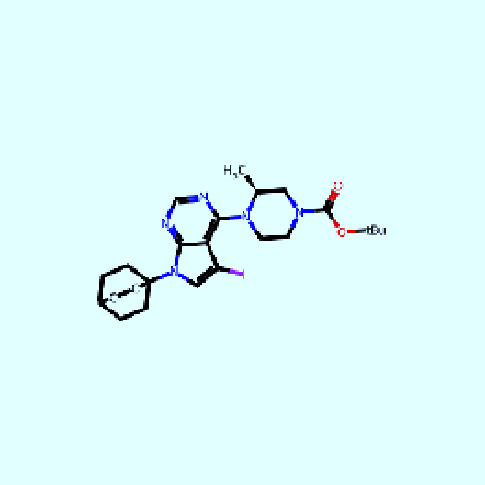 C[C@H]1CN(C(=O)OC(C)(C)C)CCN1c1ncnc2c1c(I)cn2C12CCC(CC1)CC2